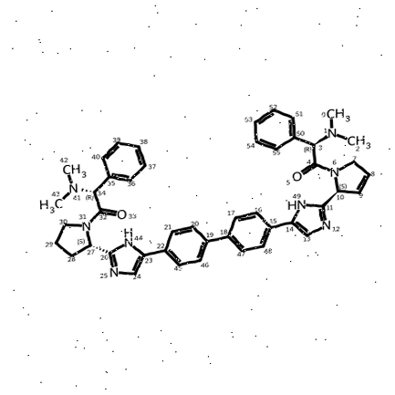 CN(C)[C@@H](C(=O)N1CC=C[C@H]1c1ncc(-c2ccc(-c3ccc(-c4cnc([C@@H]5CCCN5C(=O)[C@@H](c5ccccc5)N(C)C)[nH]4)cc3)cc2)[nH]1)c1ccccc1